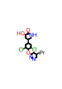 CC(C)c1cnnc(Oc2c(Cl)cc(-c3c[nH]c(=O)c(O)c3)cc2Cl)c1